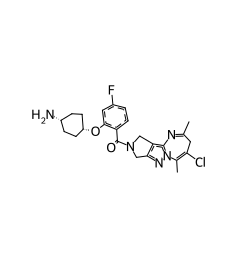 CC1=Nc2c3c(nn2C(C)=C(Cl)C1)CN(C(=O)c1ccc(F)cc1O[C@H]1CC[C@@H](N)CC1)C3